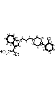 CCC(C(=O)O)c1cn(CCCN2CCN(c3ccccc3Cl)CC2)c2ccccc12